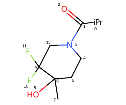 CC(C)C(=O)N1CCC(C)(O)C(F)(F)C1